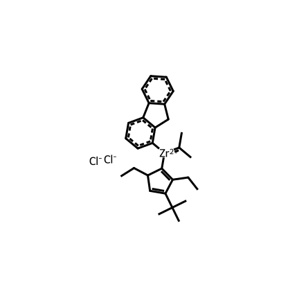 CCC1=[C]([Zr+2](=[C](C)C)[c]2cccc3c2Cc2ccccc2-3)C(CC)C=C1C(C)(C)C.[Cl-].[Cl-]